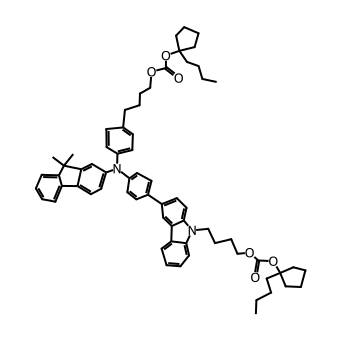 CCCCC1(OC(=O)OCCCCc2ccc(N(c3ccc(-c4ccc5c(c4)c4ccccc4n5CCCCOC(=O)OC4(CCCC)CCCC4)cc3)c3ccc4c(c3)C(C)(C)c3ccccc3-4)cc2)CCCC1